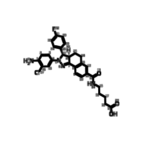 Nc1ccc(N2N=C3c4ccc(C(=O)NCCCCC(=O)O)cc4CC[C@@H]3[C@@H]2c2ccc(F)cc2)cc1Cl